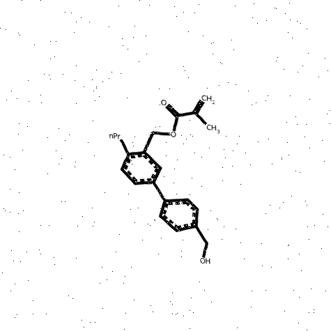 C=C(C)C(=O)OCc1cc(-c2ccc(CO)cc2)ccc1CCC